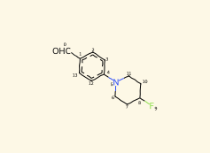 O=Cc1ccc(N2CCC(F)CC2)cc1